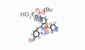 CC(C)(C)OC(=O)N(c1cccc(C(Cc2ccc(Br)cc2)NS(=O)(=O)c2cccnc2)n1)C(C(=O)O)C(C)(C)C